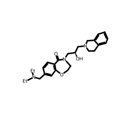 CCN(CC)Cc1ccc2c(c1)OCCN(C[C@H](O)CN1CCc3ccccc3C1)C2=O